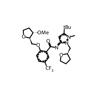 CO[C@H]1CCO[C@@H]1COc1ccc(C(F)(F)F)cc1C(=O)/N=c1\cc(C(C)(C)C)n(C)n1C[C@H]1CCCO1